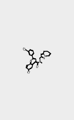 CN(Cc1cc2n(n1)CCCC2)C(=O)c1cc(-c2cccc(Cl)c2)nc2ccc(Cl)cc12